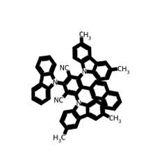 Cc1ccc2c(c1)c1cc(C)ccc1n2-c1c(C#N)c(-n2c3ccccc3c3ccccc32)c(C#N)c(-n2c3ccc(C)cc3c3cc(C)ccc32)c1-c1ccc2ccccc2c1